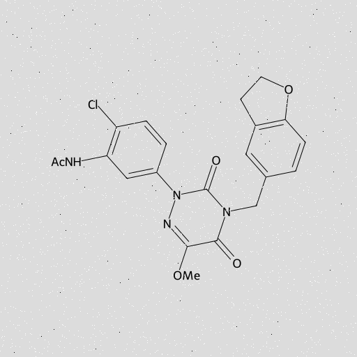 COc1nn(-c2ccc(Cl)c(NC(C)=O)c2)c(=O)n(Cc2ccc3c(c2)CCO3)c1=O